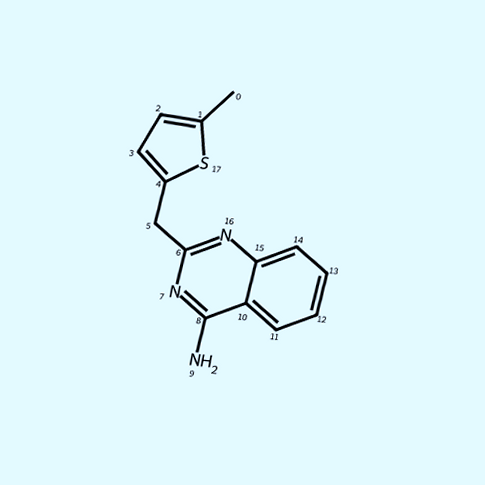 Cc1ccc(Cc2nc(N)c3ccccc3n2)s1